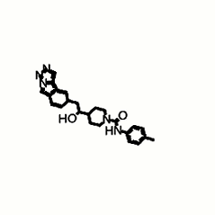 Cc1ccc(NC(=O)N2CCC(C(O)CC3C=Cc4cn5nncc5c4=C3)CC2)cc1